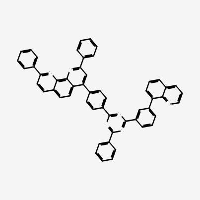 c1ccc(-c2ccc3ccc4c(-c5ccc(-c6nc(-c7ccccc7)nc(-c7cccc(-c8cccc9cccnc89)c7)n6)cc5)cc(-c5ccccc5)nc4c3n2)cc1